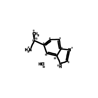 C[C@H](N)c1ccc2nc[nH]c2c1.Cl